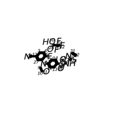 N#Cc1ccc(F)c(N2CCOc3cc(S(=O)(=O)Nc4nccs4)ccc32)c1.O=C(O)C(F)(F)F